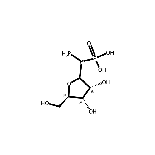 O=P(O)(O)P(P)C1O[C@H](CO)[C@@H](O)[C@H]1O